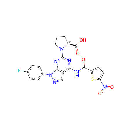 O=C(Nc1nc(N2CCC[C@H]2C(=O)O)nc2c1cnn2-c1ccc(F)cc1)c1ccc([N+](=O)[O-])s1